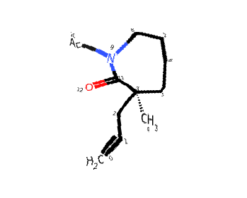 C=CC[C@]1(C)CCCCN(C(C)=O)C1=O